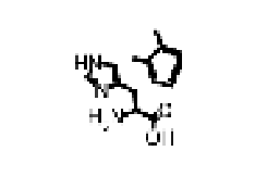 Cc1ccccc1C.NC(Cc1c[nH]cn1)C(=O)O